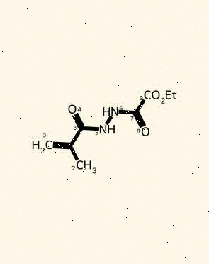 C=C(C)C(=O)NNC(=O)C(=O)OCC